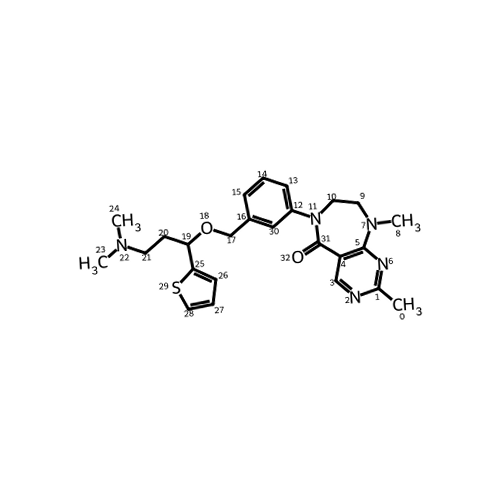 Cc1ncc2c(n1)N(C)CCN(c1cccc(COC(CCN(C)C)c3cccs3)c1)C2=O